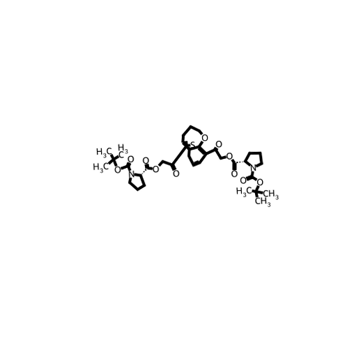 CC(C)(C)OC(=O)N1CCC[C@H]1C(=O)OCC(=O)C1=CC2CCCOC3=C(C(=O)COC(=O)[C@@H]4CCCN4C(=O)OC(C)(C)C)C=CCC32S1